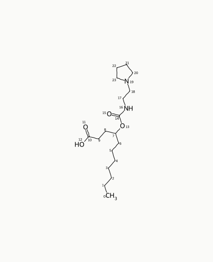 CCCCCCCC(CCC(=O)O)OC(=O)NCCN1CCCC1